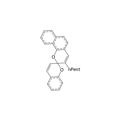 CCCCCC1=Cc2ccc3ccccc3c2OC12C=Cc1ccccc1O2